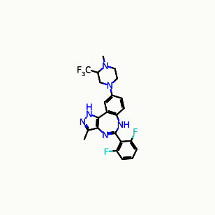 Cc1n[nH]c2c1N=C(c1c(F)cccc1F)Nc1ccc(N3CCN(C)C(C(F)(F)F)C3)cc1-2